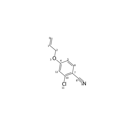 C=CCOc1ccc(C#N)c(Cl)c1